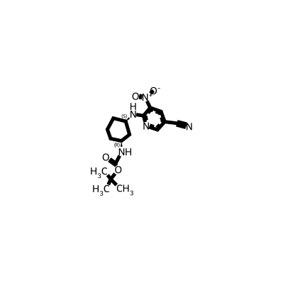 CC(C)(C)OC(=O)N[C@@H]1CCC[C@H](Nc2ncc(C#N)cc2[N+](=O)[O-])C1